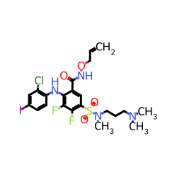 C=CCONC(=O)c1cc(S(=O)(=O)N(C)CCCN(C)C)c(F)c(F)c1Nc1ccc(I)cc1Cl